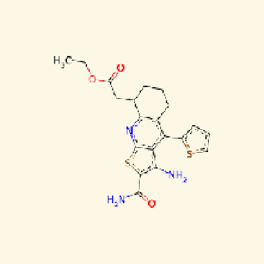 CCOC(=O)CC1CCCc2c1nc1sc(C(N)=O)c(N)c1c2-c1cccs1